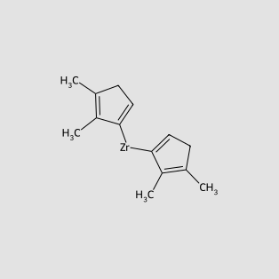 CC1=C(C)[C]([Zr][C]2=CCC(C)=C2C)=CC1